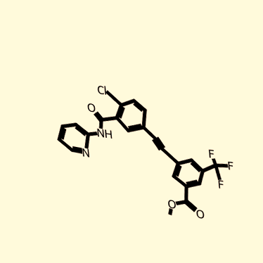 COC(=O)c1cc(C#Cc2ccc(Cl)c(C(=O)Nc3ccccn3)c2)cc(C(F)(F)F)c1